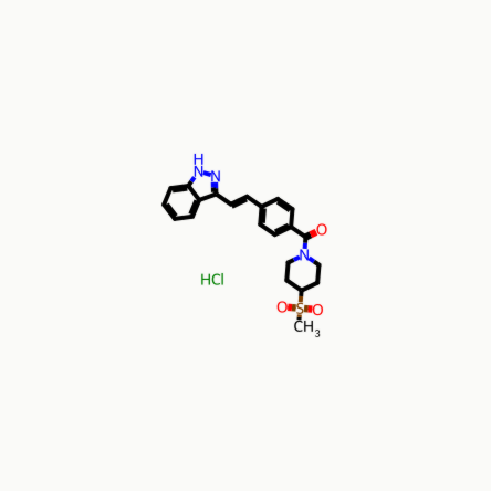 CS(=O)(=O)C1CCN(C(=O)c2ccc(/C=C/c3n[nH]c4ccccc34)cc2)CC1.Cl